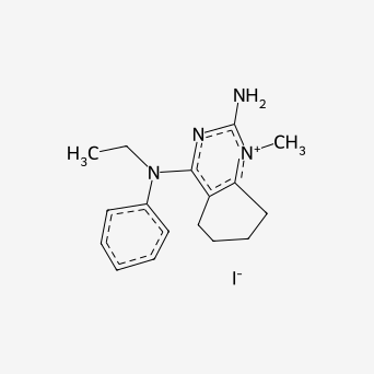 CCN(c1ccccc1)c1nc(N)[n+](C)c2c1CCCC2.[I-]